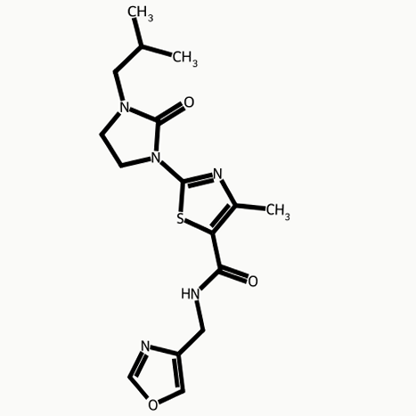 Cc1nc(N2CCN(CC(C)C)C2=O)sc1C(=O)NCc1cocn1